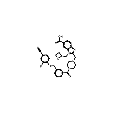 N#Cc1ccc(OCc2cccc(C(=O)N3CCN(Cc4nc5ccc(C(=O)O)cc5n4C[C@@H]4CCO4)CC3)c2)c(F)c1